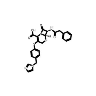 O=C(Cc1ccccc1)N[C@@H]1C(=O)N2C(C(=O)O)=C(Sc3ccc(Cn4ccnc4)cc3)CS[C@@H]12